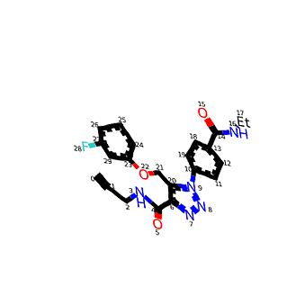 C#CCNC(=O)c1nnn(-c2ccc(C(=O)NCC)cc2)c1COc1cccc(F)c1